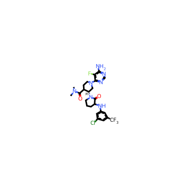 CN(C)C(=O)C1CCN(c2ncnc(N)c2F)C[C@@H]1N1CCCC(Nc2cc(Cl)cc(C(F)(F)F)c2)C1=O